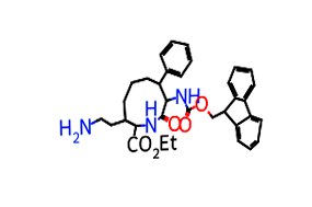 CCOC(=O)C1NC(=O)C(NC(=O)OCC2c3ccccc3-c3ccccc32)C(c2ccccc2)CCCC1CCN